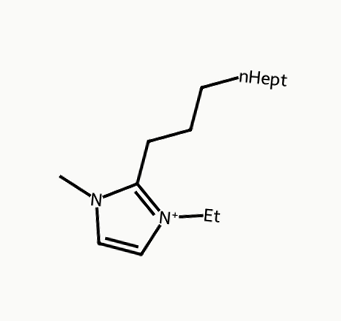 CCCCCCCCCCc1n(C)cc[n+]1CC